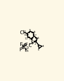 FC(F)(F)[s+]1c(C2CC2)cc2ccc(Cl)cc21.F[B-](F)(F)F